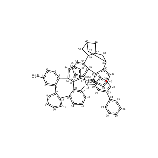 CCc1ccc2c(c1)-c1ccccc1-c1cccc(N(c3cccc(-c4ccccc4)c3)c3cccc4c3-c3ccccc3C3CC5CC(C3)C4C5)c1-c1c-2cccc1C(C)(C)C